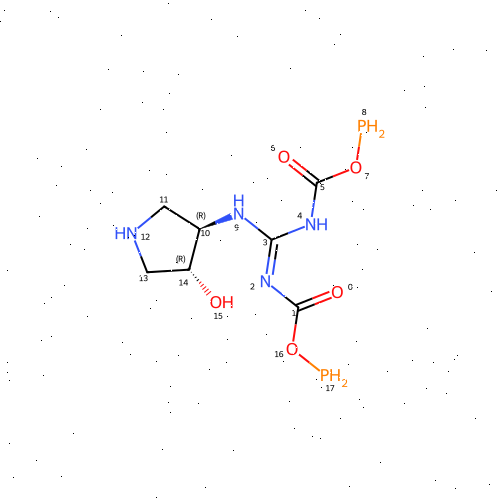 O=C(N=C(NC(=O)OP)N[C@@H]1CNC[C@H]1O)OP